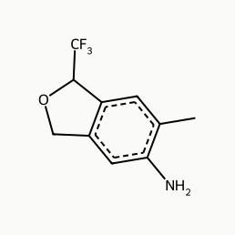 Cc1cc2c(cc1N)COC2C(F)(F)F